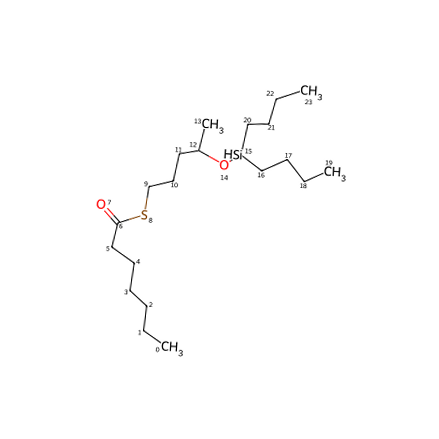 CCCCCCC(=O)SCCCC(C)O[SiH](CCCC)CCCC